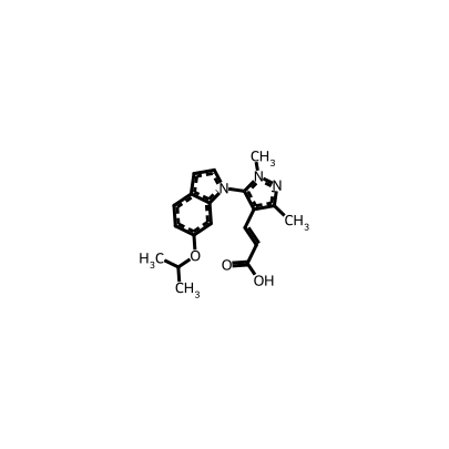 Cc1nn(C)c(-n2ccc3ccc(OC(C)C)cc32)c1C=CC(=O)O